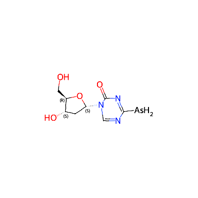 O=c1nc([AsH2])ncn1[C@@H]1C[C@H](O)[C@@H](CO)O1